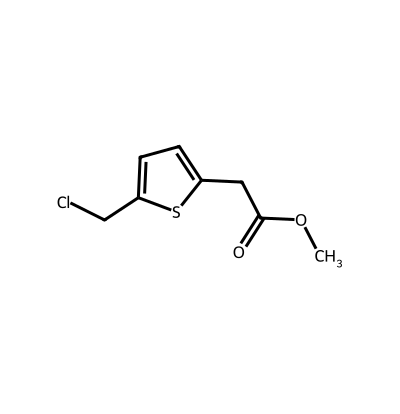 COC(=O)Cc1ccc(CCl)s1